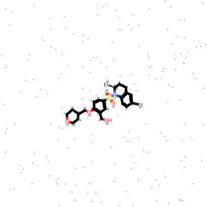 CCc1ccc2c(c1)CC[C@H](CC)N2S(=O)(=O)c1ccc(OCC2CCOCC2)c(CO)c1